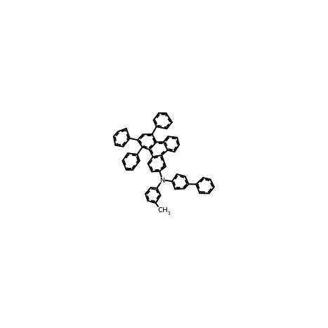 Cc1cccc(N(c2ccc(-c3ccccc3)cc2)c2ccc3c(c2)c2ccccc2c2c(-c4ccccc4)cc(-c4ccccc4)c(-c4ccccc4)c32)c1